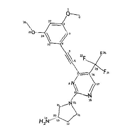 COc1cc(C#Cc2nc(N3CC[C@H](N)C3)ncc2C(F)(F)F)cc(OC)c1